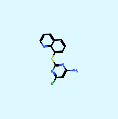 Nc1cc(Cl)nc(Sc2cccc3cccnc23)n1